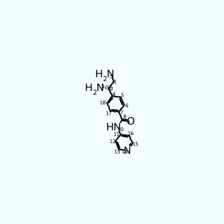 NC[C@@H](N)c1ccc(C(=O)Nc2ccncc2)cc1